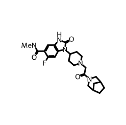 CNC(=O)c1cc2[nH]c(=O)n(C3CCN(CC(=O)N4CC5CCC(C5)C4)CC3)c2cc1F